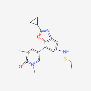 CCSNc1cc(-c2cc(C)c(=O)n(C)c2)c2oc(C3CC3)nc2c1